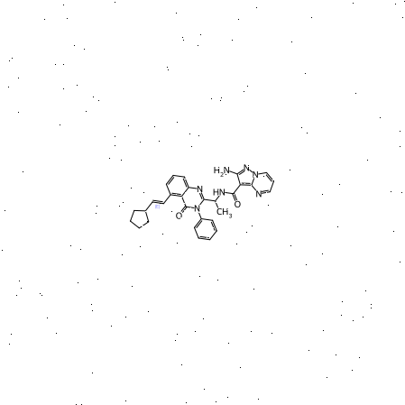 CC(NC(=O)c1c(N)nn2cccnc12)c1nc2cccc(/C=C/C3CCCC3)c2c(=O)n1-c1ccccc1